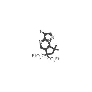 CCOC(=O)C1(C(=O)OCC)CC(C)(C)c2c1cnc1c(F)cnn21